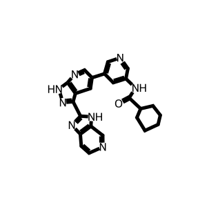 O=C(Nc1cncc(-c2cnc3[nH]nc(-c4nc5ccncc5[nH]4)c3c2)c1)C1CCCCC1